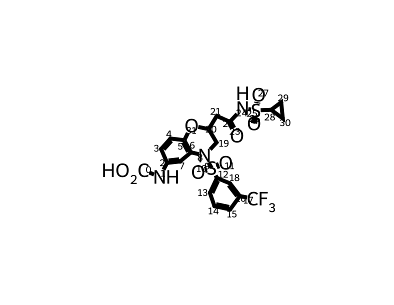 O=C(O)Nc1ccc2c(c1)N(S(=O)(=O)c1cccc(C(F)(F)F)c1)CC(CC(=O)NS(=O)(=O)C1CC1)O2